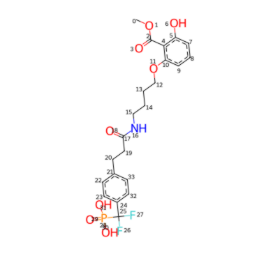 COC(=O)c1c(O)cccc1OCCCCNC(=O)CCc1ccc(C(F)(F)P(=O)(O)O)cc1